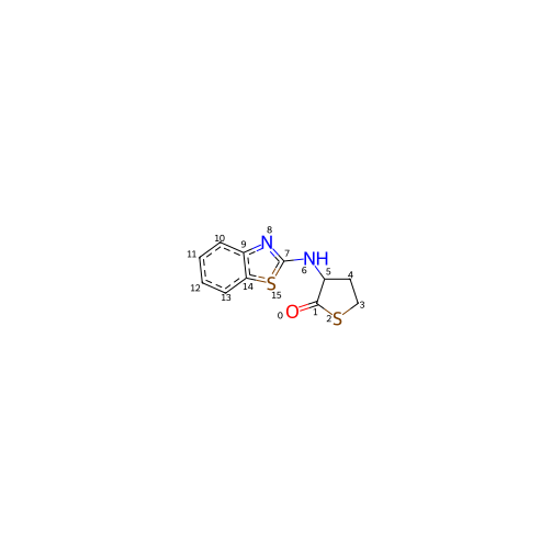 O=C1SCCC1Nc1nc2ccccc2s1